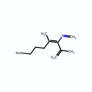 C=N/C(C(=C)C)=C(\C)CCCNC